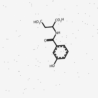 O=C(O)CC(NC(=O)c1cccc(O)c1)C(=O)O